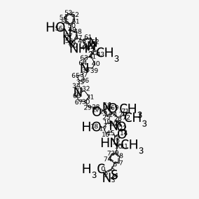 Cc1ncsc1-c1ccc([C@H](C)NC(=O)[C@@H]2C[C@@H](O)CN2C(=O)[C@@H](c2cc(OCCC3CCN(C[C@H]4C[C@H](N5CCC(C(C)n6cc(-c7cc(-c8ccccc8O)nnc7N)cn6)CC5)C4)CC3)no2)C(C)C)cc1